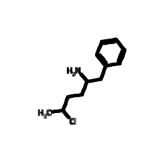 CC(Cl)CCC(N)Cc1ccccc1